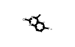 Cc1nc(Cl)nc2ccc(F)cc12